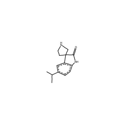 CC(C)c1ccc2c(c1)C1(CCNC1)C(=O)N2